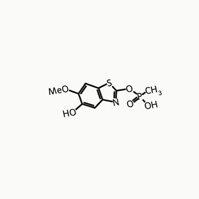 COc1cc2sc(OP(C)(=O)O)nc2cc1O